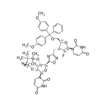 COc1ccc(C(OC[C@H]2O[C@@H](n3ccc(=O)[nH]c3=O)[C@H](F)[C@@H]2Cc2noc([C@H]3O[C@@H](n4ccc(=O)[nH]c4=O)[C@H](OC)[C@@H]3O[Si](C)(C)C(C)(C)C)n2)(c2ccccc2)c2ccc(OC)cc2)cc1